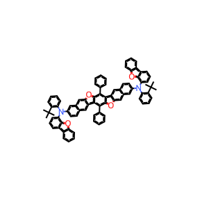 CC(C)(C)c1ccccc1N(c1ccc2cc3c(cc2c1)oc1c(-c2ccccc2)c2c(oc4cc5cc(N(c6ccccc6C(C)(C)C)c6cccc7c6oc6ccccc67)ccc5cc42)c(-c2ccccc2)c13)c1cccc2c1oc1ccccc12